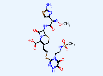 CO/N=C(\C(=O)NC1C(=O)N2C(C(=O)O)=C(/C=C/Sc3n[nH]c(=O)c(=O)n3CCNS(C)(=O)=O)CSC12)c1csc(N)n1